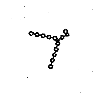 c1ccc(-c2ccc(-c3ccc(-c4ccc(-c5ccc6c(c5)c5cc(-c7ccc(-c8ccc(-c9ccc(-c%10ccccc%10)cc9)cc8)cc7)ccc5n6-c5ccc(-c6cccc7ccccc67)cc5)cc4)cc3)cc2)cc1